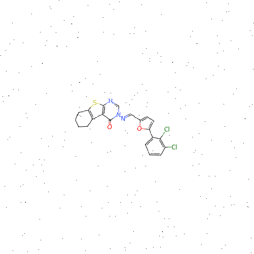 O=c1c2c3c(sc2ncn1/N=C/c1ccc(-c2cccc(Cl)c2Cl)o1)CCCC3